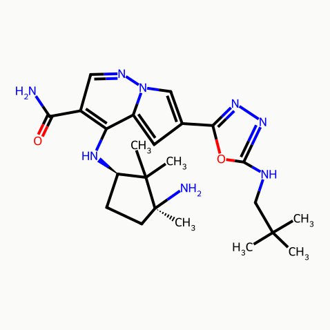 CC(C)(C)CNc1nnc(-c2cc3c(N[C@@H]4CC[C@](C)(N)C4(C)C)c(C(N)=O)cnn3c2)o1